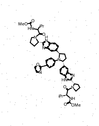 COC(=O)NC(C(=O)N1CCC[C@H]1c1nc2cc([C@H]3CC[C@H](c4ccc5[nH]c([C@@H]6CCCN6C(=O)[C@@H](NC(=O)OC)C(C)C)nc5c4)N3c3ccc(-c4ncco4)cc3)ccc2[nH]1)C(C)C